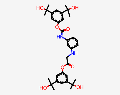 CC(C)(O)c1cc(OC(=O)CNc2cccc(NC(=O)Oc3cc(C(C)(C)O)cc(C(C)(C)O)c3)c2)cc(C(C)(C)O)c1